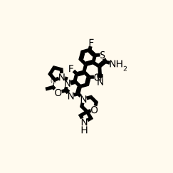 CC(Oc1nc(N2CCOC3(CNC3)C2)c2cc(Cl)c(-c3ccc(F)c4sc(N)c(C#N)c34)c(F)c2n1)[C@@H]1CCCN1C